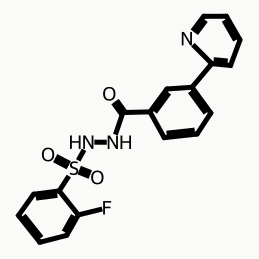 O=C(NNS(=O)(=O)c1ccccc1F)c1cccc(-c2ccccn2)c1